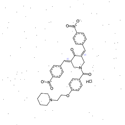 Cl.O=C1/C(=C\c2ccc([N+](=O)[O-])cc2)CN(C(=O)c2ccc(OCCN3CCCCC3)cc2)C/C1=C\c1ccc([N+](=O)[O-])cc1